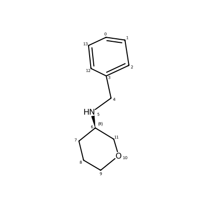 c1ccc(CN[C@@H]2CCCOC2)cc1